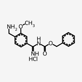 COc1cc(C(=N)NC(=O)OCc2ccccc2)ccc1CN.Cl